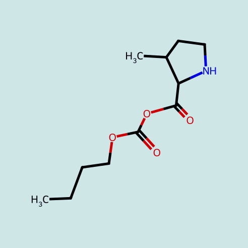 CCCCOC(=O)OC(=O)C1NCCC1C